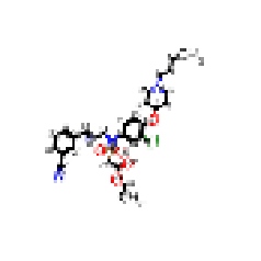 CCCCN1CCC(Oc2ccc(N(C/C=C/c3cccc(C#N)c3)S(=O)(=O)CC(=O)OCC)cc2Cl)CC1